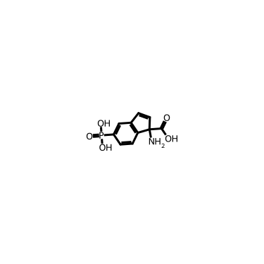 NC1(C(=O)O)C=Cc2cc(P(=O)(O)O)ccc21